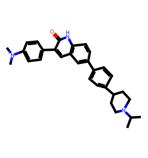 CC(C)N1CCC(c2ccc(-c3ccc4[nH]c(=O)c(-c5ccc(N(C)C)cc5)cc4c3)cc2)CC1